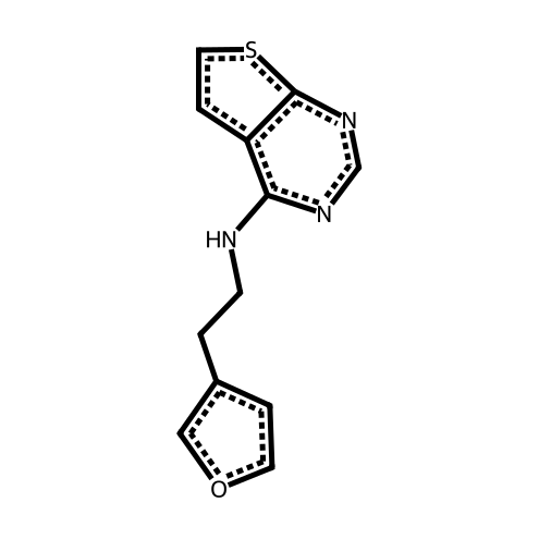 c1nc(NCCc2ccoc2)c2ccsc2n1